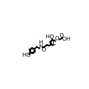 O=C(O)COc1ccc(C=CC(=O)NCCc2ccc(O)cc2)cc1O